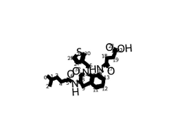 CC(C)CCC(=O)NC1Cc2cccc(NC(=O)CCC(=O)O)c2N(Cc2ccsc2)C1=O